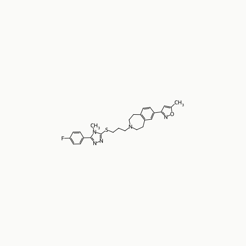 Cc1cc(-c2ccc3c(c2)CCN(CCCSc2nnc(-c4ccc(F)cc4)n2C)CC3)no1